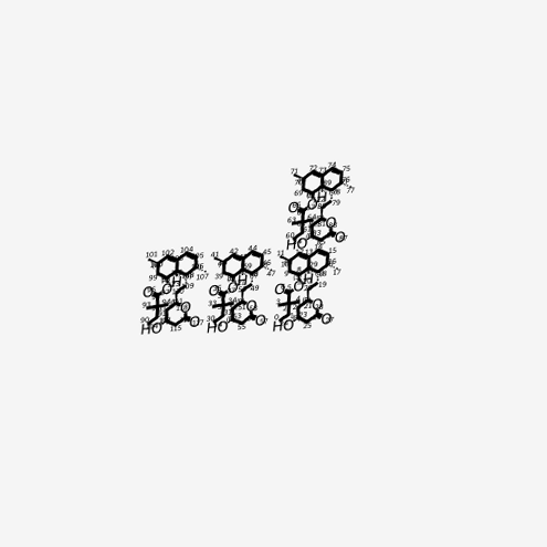 CCC(C)(C)C(=O)O[C@H]1C[C@@H](C)C=C2C=C[C@H](C)[C@H](CC[C@@H]3C[C@@H](O)CC(=O)O3)[C@H]21.CCC(C)(C)C(=O)O[C@H]1C[C@@H](C)C=C2C=C[C@H](C)[C@H](CC[C@@H]3C[C@@H](O)CC(=O)O3)[C@H]21.CCC(C)(C)C(=O)O[C@H]1C[C@@H](C)C=C2C=C[C@H](C)[C@H](CC[C@@H]3C[C@@H](O)CC(=O)O3)[C@H]21.CCC(C)(C)C(=O)O[C@H]1C[C@@H](C)C=C2C=C[C@H](C)[C@H](CC[C@@H]3C[C@@H](O)CC(=O)O3)[C@H]21